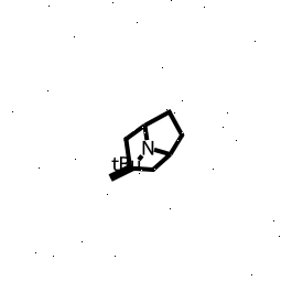 C=C1CC2CCC(C1)N2C(C)(C)C